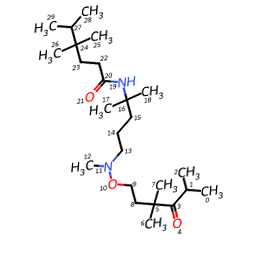 CC(C)C(=O)C(C)(C)CCON(C)CCCC(C)(C)NC(=O)CCC(C)(C)C(C)C